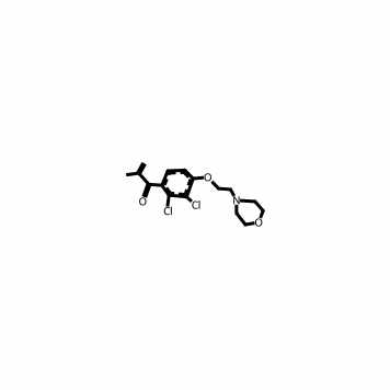 C=C(C)C(=O)c1ccc(OCCN2CCOCC2)c(Cl)c1Cl